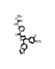 CC(C)(C)OC(=O)N[C@@H]1CCCN(C(=O)c2cc(-c3ccc(C#N)c(F)c3)c(-c3ccc4nccn4c3)s2)C1